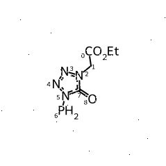 CCOC(=O)Cn1nnn(P)c1=O